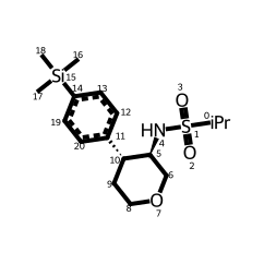 CC(C)S(=O)(=O)N[C@H]1COCC[C@@H]1c1ccc([Si](C)(C)C)cc1